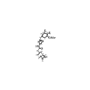 COc1cc(Cn2ncc(NC(=O)CC3=CC=C4C(=CNN4C)C3)n2)cc(F)c1F